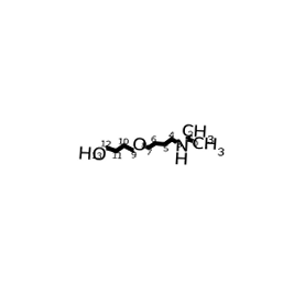 CC(C)NCCCCOCCCCO